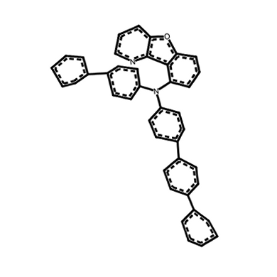 c1ccc(-c2ccc(-c3ccc(N(c4ccc(-c5ccccc5)cc4)c4cccc5oc6cccnc6c45)cc3)cc2)cc1